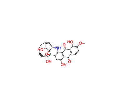 COc1ccc2c(c1O)C(=O)c1c3c(cc(O)c1C2=O)[C@@]12O[C@@]1([C@@H](C)O)[C@H](C#CCCC#C[C@H]2O)N3